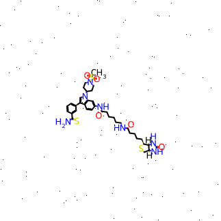 CS(=O)(=O)N1CCC(n2cc(-c3cccc(C(N)=S)c3)c3ccc(NC(=O)CCCCCNC(=O)CCCC[C@@H]4SC[C@@H]5NC(=O)N[C@@H]54)cc32)CC1